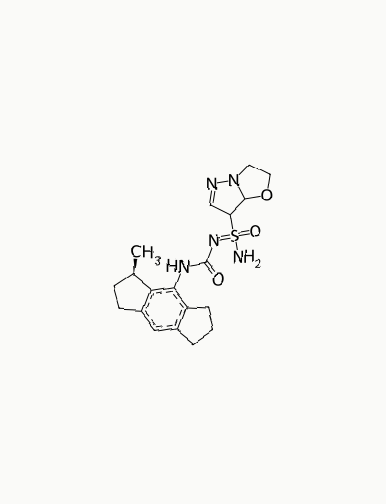 C[C@@H]1CCc2cc3c(c(NC(=O)N=S(N)(=O)C4C=NN5CCOC45)c21)CCC3